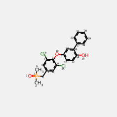 CP(C)(=O)Cc1cc(Cl)c(Oc2ccc(O)c(-c3ccccc3)c2)c(Cl)c1